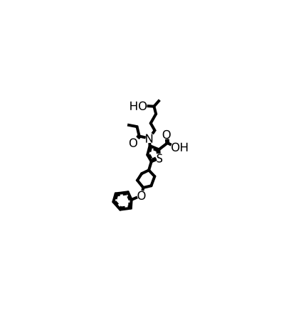 CCC(=O)N(CCCC(C)O)c1cc(C2CCC(Oc3ccccc3)CC2)sc1C(=O)O